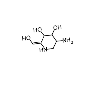 NC1CNC(=CO)C(O)C1O